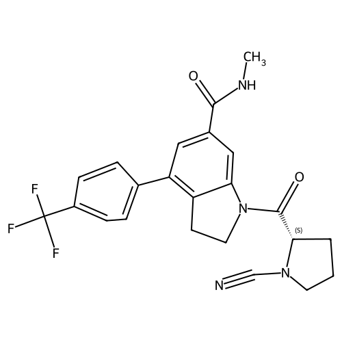 CNC(=O)c1cc(-c2ccc(C(F)(F)F)cc2)c2c(c1)N(C(=O)[C@@H]1CCCN1C#N)CC2